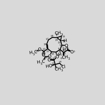 C=C1C(=O)O[C@H]2[C@H]1[C@@H](OC(=O)C(C)(O)CCl)C(OC(C)=O)/C(C(=O)OC)=C\CC[C@@]1(C)C[C@H]21